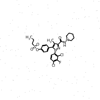 CCCS(=O)(=O)Oc1ccc(-c2c(C)c(C(=O)NN3CCCCC3)nn2-c2ccc(Cl)c(F)c2Cl)cc1